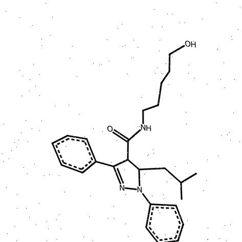 CC(C)CC1C(C(=O)NCCCCCO)C(c2ccccc2)=NN1c1ccccc1